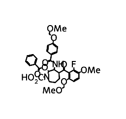 COCOc1ccc(C(=O)NC2C(C(=O)c3c(OCOC)ccc(OC)c3F)CCCN(C(=O)O)C2OC(=O)c2ccccc2)cc1